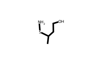 CC(CCO)SN